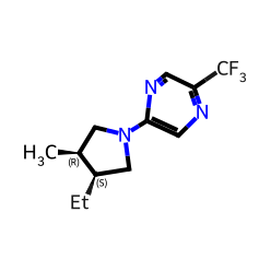 CC[C@@H]1CN(c2cnc(C(F)(F)F)cn2)C[C@@H]1C